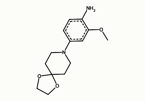 COc1cc(N2CCC3(CC2)OCCO3)ccc1N